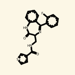 O=C(NCC1N=C(c2ccccc2F)c2ccccc2NC1=O)c1ccsc1